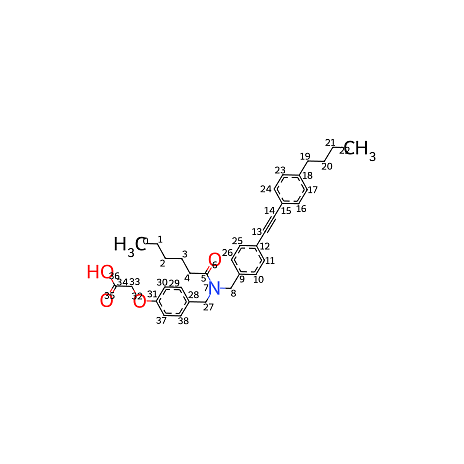 CCCCCC(=O)N(Cc1ccc(C#Cc2ccc(CCCC)cc2)cc1)Cc1ccc(OCC(=O)O)cc1